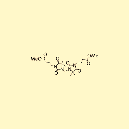 COC(=O)CCCN1C(=O)N(CN2C(=O)N(CCCC(=O)OC)C(=O)C2(C)C)C(C)(C)C1=O